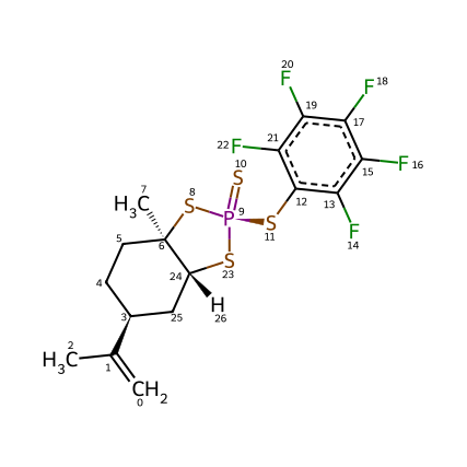 C=C(C)[C@H]1CC[C@@]2(C)S[P@@](=S)(Sc3c(F)c(F)c(F)c(F)c3F)S[C@@H]2C1